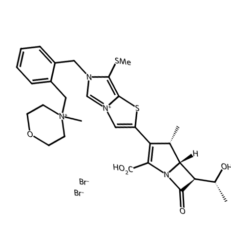 CSc1c2sc(C3=C(C(=O)O)N4C(=O)[C@H]([C@@H](C)O)[C@H]4[C@H]3C)c[n+]2cn1Cc1ccccc1C[N+]1(C)CCOCC1.[Br-].[Br-]